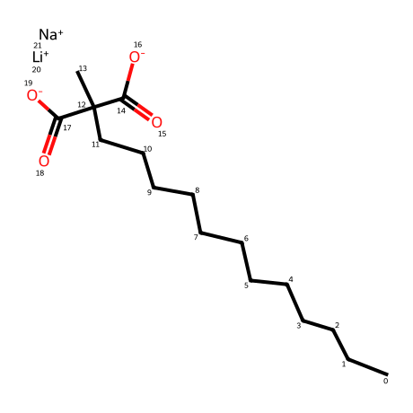 CCCCCCCCCCCCC(C)(C(=O)[O-])C(=O)[O-].[Li+].[Na+]